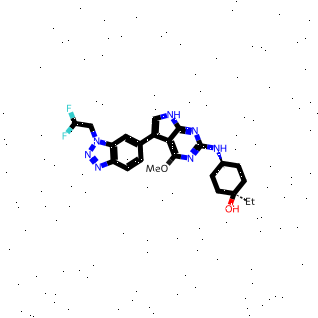 CC[C@]1(O)CC[C@@H](Nc2nc(OC)c3c(-c4ccc5nnn(CC(F)F)c5c4)c[nH]c3n2)CC1